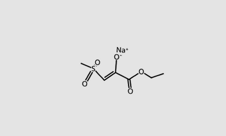 CCOC(=O)/C([O-])=C/S(C)(=O)=O.[Na+]